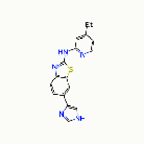 CCc1ccnc(Nc2nc3ccc(-c4c[nH]cn4)cc3s2)c1